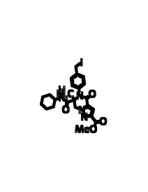 COC(=O)c1cc2n(n1)CC(C)(C(=O)NC1CCCCC1)N(c1ccc(CI)cc1)C2=O